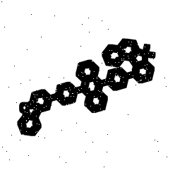 CC1(C)c2cccc(-c3ccc(-c4c5ccccc5c(-c5ccc(-c6ccc7oc8ccccc8c7c6)cc5)c5ccccc45)cc3)c2-c2c1ccc1ccccc21